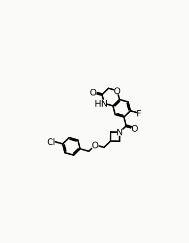 O=C1COc2cc(F)c(C(=O)N3CC(COCc4ccc(Cl)cc4)C3)cc2N1